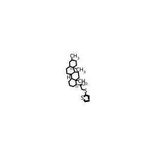 C[C@H]1CC[C@@]2(C)C(CC[C@H]3C4CCC[C@H](C(=O)CSc5cccs5)C4(C)CCC32)C1